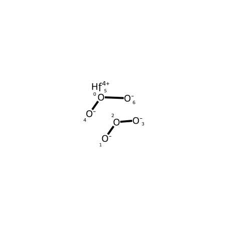 [Hf+4].[O-]O[O-].[O-]O[O-]